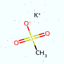 CS(=O)(=O)[O-].[K+]